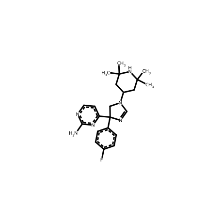 CC1(C)CC(N2C=NC(c3ccc(F)cc3)(c3ccnc(N)n3)C2)CC(C)(C)N1